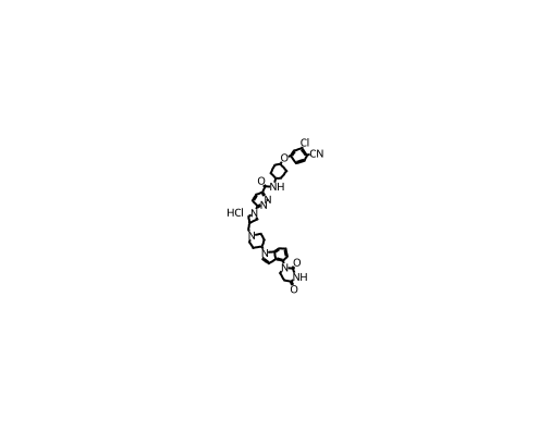 Cl.N#Cc1ccc(OC2CCC(NC(=O)c3ccc(N4CC(CN5CCC(n6ccc7c(N8CCC(=O)NC8=O)cccc76)CC5)C4)nn3)CC2)cc1Cl